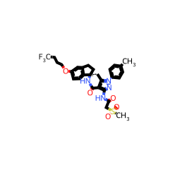 Cc1ccc(-n2nc(NC(=O)CS(C)(=O)=O)c3c2C[C@]2(CCc4cc(OCCCC(F)(F)F)ccc42)NC3=O)cc1